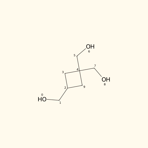 OCC1CC(CO)(CO)C1